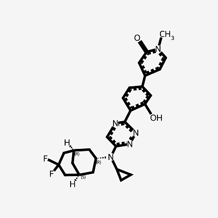 Cn1ccc(-c2ccc(-c3ncc(N(C4CC4)[C@H]4C[C@H]5C[C@@H](C4)CC(F)(F)C5)nn3)c(O)c2)cc1=O